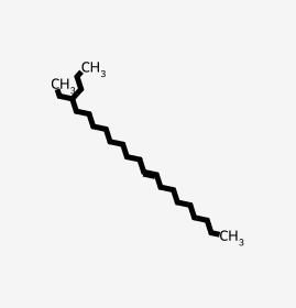 CCCCCCCCC=CCCCCCCCCC(CC)CCC